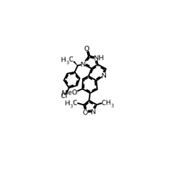 COc1cc2c(cc1-c1c(C)noc1C)ncc1[nH]c(=O)n([C@H](C)c3ccc(Cl)cc3)c12